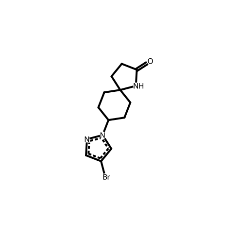 O=C1CCC2(CCC(n3cc(Br)cn3)CC2)N1